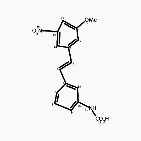 COc1cc(/C=C/c2cccc(NC(=O)O)c2)cc([N+](=O)[O-])c1